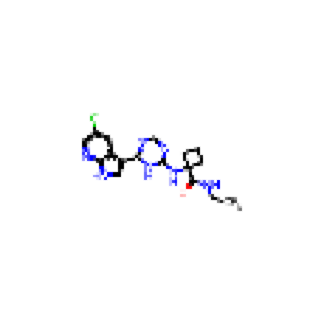 O=C(NCC(F)(F)F)C1(NC2N=CN=C(c3c[nH]c4ncc(Cl)cc34)N2)CCC1